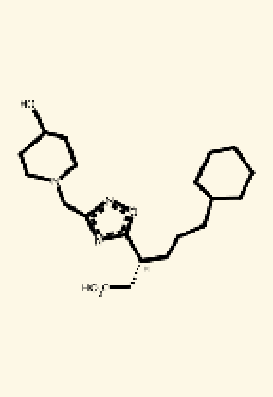 O=C(O)C[C@@H](CCCC1CCCCC1)c1nc(CN2CCC(O)CC2)no1